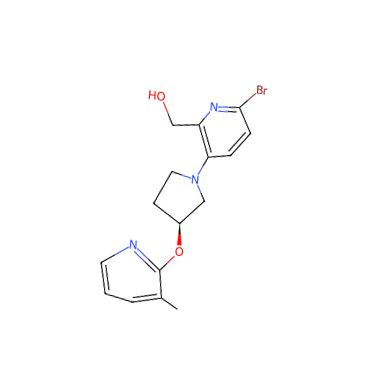 Cc1cccnc1O[C@H]1CCN(c2ccc(Br)nc2CO)C1